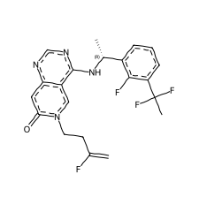 C=C(F)CCn1cc2c(N[C@H](C)c3cccc(C(C)(F)F)c3F)ncnc2cc1=O